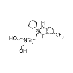 CC1c2cc(C(F)(F)F)ccc2N[C@@H](C2C=CC=CC2)[C@@H]1CC[C@@H](C)CN(CCO)CCO